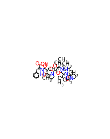 CCC(C)[C@@H]([C@@H](CC(=O)N1CCC[C@H]1[C@H](OC)[C@@H](C)C(=O)N[C@@H](Cc1ccccc1)C(=O)O)OC)N(C)C(=O)[C@@H](NC(=O)[C@]1(C)CCCN1)C(C)C